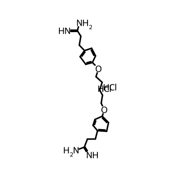 Cl.Cl.N=C(N)CCc1ccc(OCCCCCOc2ccc(CCC(=N)N)cc2)cc1